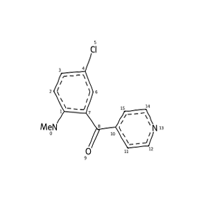 CNc1ccc(Cl)cc1C(=O)c1ccncc1